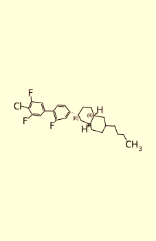 CCCCC1CC[C@@H]2C[C@H](c3ccc(-c4cc(F)c(Cl)c(F)c4)c(F)c3)CC[C@@H]2C1